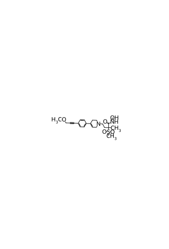 COCC#Cc1ccc(C2=CCN(CCC(C)(C(=O)NO)S(C)(=O)=O)CC2)cc1